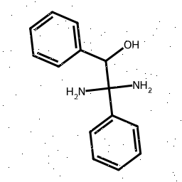 NC(N)(c1ccccc1)C(O)c1ccccc1